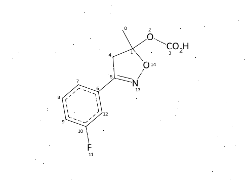 CC1(OC(=O)O)CC(c2cccc(F)c2)=NO1